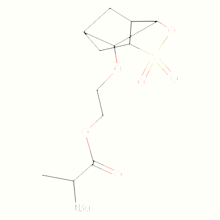 CC(C(=O)OCCOC1C2CC3C1OS(=O)(=O)C3C2)C(C)(C)C